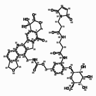 CC[C@@]1(O)C(=O)OCc2c1cc1n(c2=O)Cc2c-1nc1ccc3c(c1c2CNC(=O)OCc1ccc(O[C@@H]2O[C@H](C(=O)O)[C@@H](O)[C@H](O)[C@H]2O)c(NC(=O)CCNC(=O)CCN2C(=O)C=CC2=O)c1)COC3